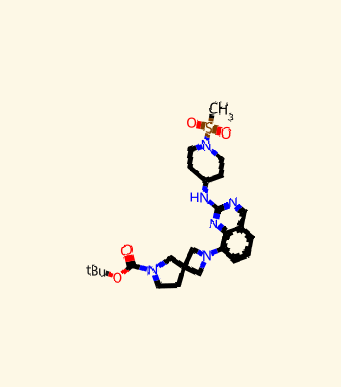 CC(C)(C)OC(=O)N1CCC2(C1)CN(c1cccc3cnc(NC4CCN(S(C)(=O)=O)CC4)nc13)C2